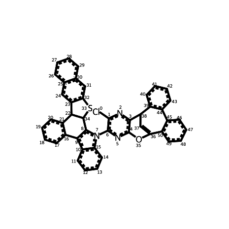 Clc1nc2c(nc1-n1c3c(c4ccccc41)-c1ccccc1C1c4cc5ccccc5cc4SC31)OC1=CC2c2ccccc2-c2ccccc21